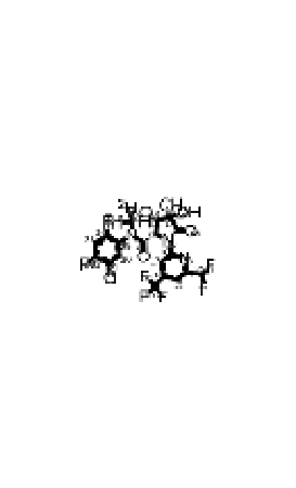 [2H]C([2H])([2H])N(C(=O)[C@@H]1[C@H](O)[C@](C)(O)C(=O)N1c1cc(C(F)(F)F)cc(C(F)F)n1)c1cc(Cl)c(F)cc1F